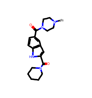 CC(C)N1CCN(C(=O)c2ccc3[nH]c(C(=O)N4CCCCC4)cc3c2)CC1